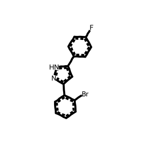 Fc1ccc(-c2cc(-c3ccccc3Br)n[nH]2)cc1